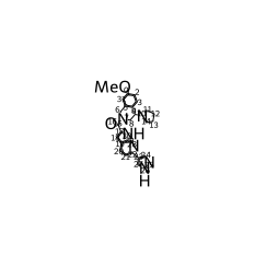 COc1cccc(CN(CCN2CCCC2)C(=O)c2cc3ccc(-c4cn[nH]c4)nc3[nH]2)c1